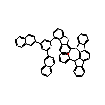 c1ccc(C2c3ccccc3-c3ccc4c5ccccc5n(-c5cccc6c5oc5cccc(-c7nc(-c8ccc9ccccc9c8)nc(-c8ccc9ccccc9c8)n7)c56)c4c32)cc1